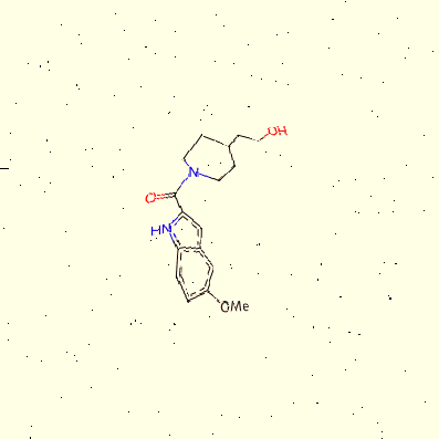 COc1ccc2[nH]c(C(=O)N3CCC(CCO)CC3)cc2c1